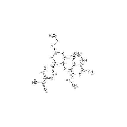 CCO[C@H]1C[C@H](CC)N(Cc2c(OC)cc(C)c3[nH]ccc23)[C@@H](c2ccc(C(=O)O)cc2)C1